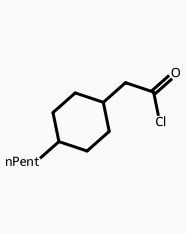 CCCCCC1CCC(CC(=O)Cl)CC1